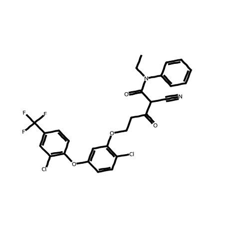 CCN(C(=O)C(C#N)C(=O)CCOc1cc(Oc2ccc(C(F)(F)F)cc2Cl)ccc1Cl)c1ccccc1